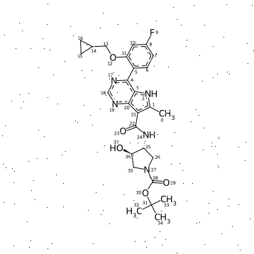 Cc1[nH]c2c(-c3ccc(F)cc3OCC3CC3)ncnc2c1C(=O)N[C@@H]1CN(C(=O)OC(C)(C)C)C[C@H]1O